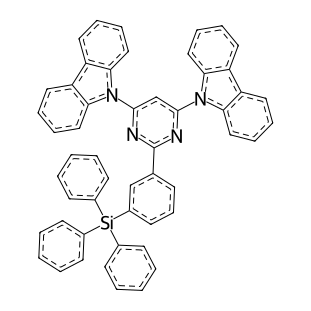 c1ccc([Si](c2ccccc2)(c2ccccc2)c2cccc(-c3nc(-n4c5ccccc5c5ccccc54)cc(-n4c5ccccc5c5ccccc54)n3)c2)cc1